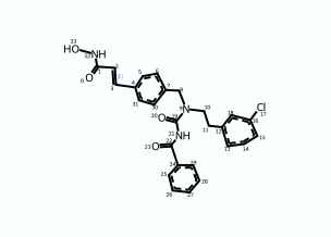 O=C(/C=C/c1ccc(CN(CCc2cccc(Cl)c2)C(=O)NC(=O)c2ccccc2)cc1)NO